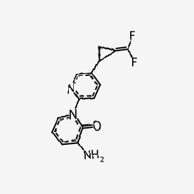 Nc1cccn(-c2ccc(C3CC3=C(F)F)cn2)c1=O